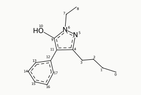 CCCCc1nn(CC)c(O)c1-c1ccccc1